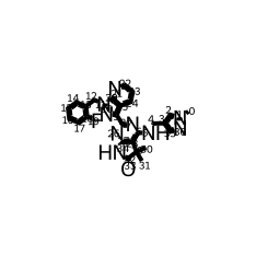 Cn1cc(CNc2nc(-c3nn(Cc4ccccc4F)c4ncccc34)nc3c2C(C)(C)C(=O)N3)cn1